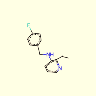 C[CH]c1ncccc1NCc1ccc(F)cc1